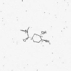 B[C@H]1CC[C@H](C(=O)N(C)C)C[C@@H]1O